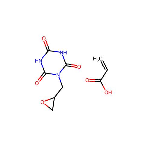 C=CC(=O)O.O=c1[nH]c(=O)n(CC2CO2)c(=O)[nH]1